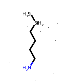 NCCCC[SiH2][SiH3]